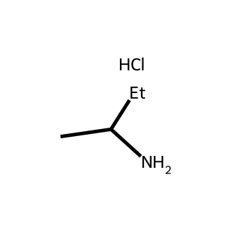 CCC(C)N.Cl